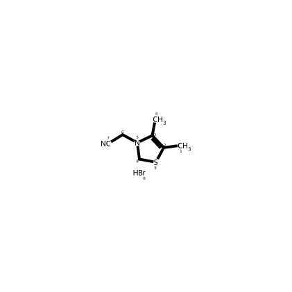 Br.CC1=C(C)N(CC#N)CS1